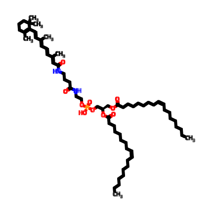 CCCCCCCC/C=C\CCCCCCCC(=O)OC[C@H](COP(=O)(O)OCCNC(=O)CCCNC(=O)/C=C(C)/C=C/C=C(C)/C=C/C1=C(C)CCCC1(C)C)OC(=O)CCCCCCC/C=C\CCCCCCCC